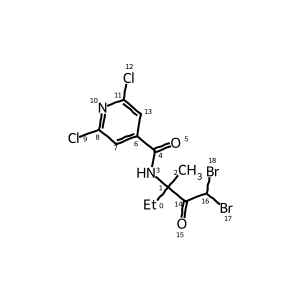 CCC(C)(NC(=O)c1cc(Cl)nc(Cl)c1)C(=O)C(Br)Br